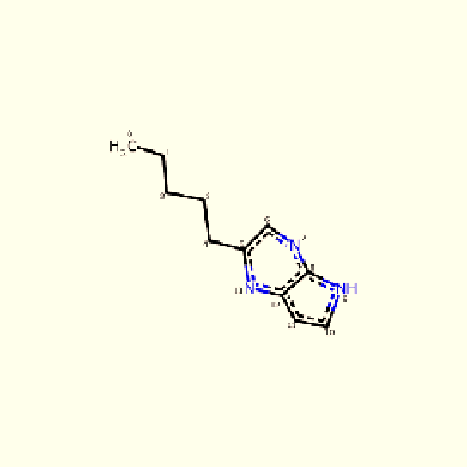 CCCCCc1cnc2[nH]ccc2n1